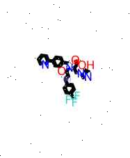 O=C(O)C(Cn1ccnc1)N(Cc1ccc(-c2ccccn2)cc1)C(=O)/C=C/c1ccc(C(F)(F)F)cc1